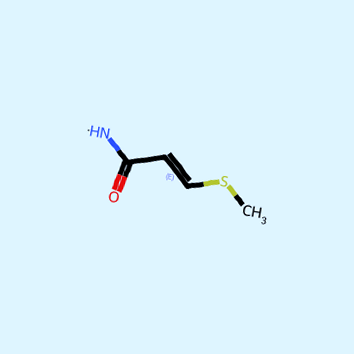 CS/C=C/C([NH])=O